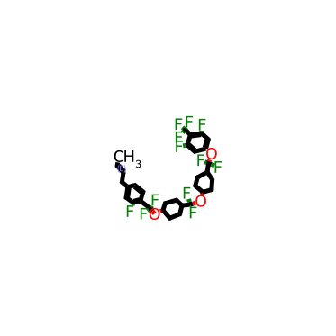 C/C=C/Cc1ccc(C(F)(F)OC2CCC(C(F)(F)OC3CCC(C(F)(F)Oc4cc(F)c(C(F)(F)F)c(F)c4)CC3)CC2)c(F)c1